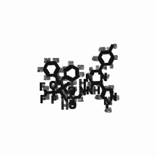 Cc1ccc(-c2cnc(NNCS(=O)(=O)NCC(F)(O[Si](c3ccccc3)(c3ccccc3)C(C)(C)C)C(F)F)c(-c3cnn(C)c3)n2)cc1